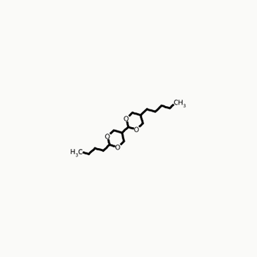 CCCCCC1COC(C2COC(CCCC)OC2)OC1